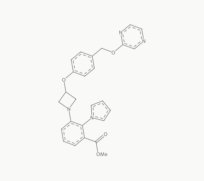 COC(=O)c1cccc(N2CC(Oc3ccc(COc4cnccn4)cc3)C2)c1-n1cccc1